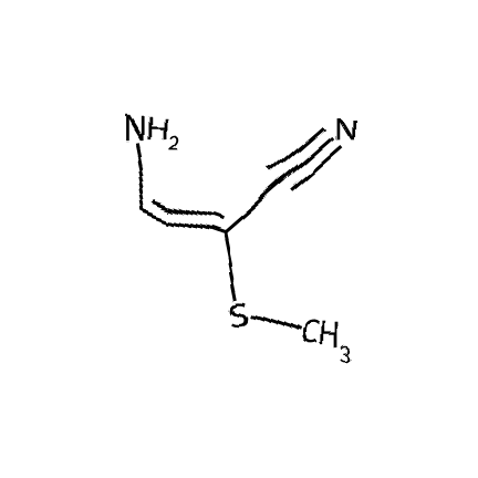 CSC(C#N)=CN